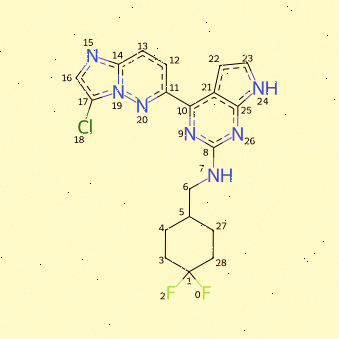 FC1(F)CCC(CNc2nc(-c3ccc4ncc(Cl)n4n3)c3cc[nH]c3n2)CC1